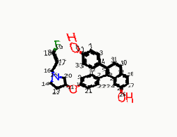 Oc1ccc(C2=C(c3ccc(OC4CCN(CCCF)C4)cc3)c3cc(O)ccc3CC2)cc1